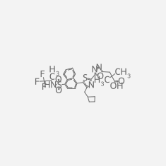 C[C@H](NS(=O)(=O)c1ccc(-c2sc(-c3nnc(CC(C)(C)C(=O)O)o3)nc2CC2CCC2)c2ccccc12)C(F)(F)F